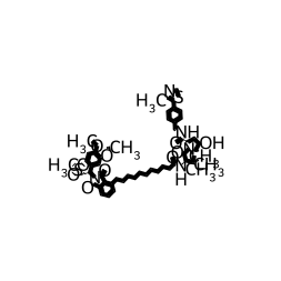 CCOc1cc([C@@H](CS(C)(=O)=O)N2C(=O)c3cccc(CCCCCCCCCCC(=O)N[C@H](C(=O)N4C[C@H](O)C[C@H]4C(=O)NCc4ccc(-c5scnc5C)cc4)C(C)(C)C)c3C2=O)ccc1OC